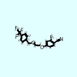 N#Cc1ccc(OCCOCc2ccc(C(F)(F)F)cc2)cc1F